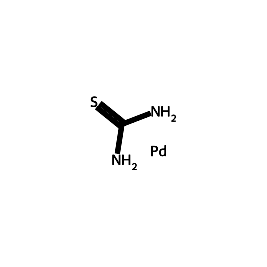 NC(N)=S.[Pd]